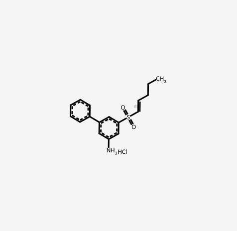 CCC/C=C/S(=O)(=O)c1cc(N)cc(-c2ccccc2)c1.Cl